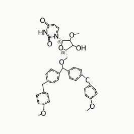 COc1ccc(Cc2ccc(C(OC[C@@H]3O[C@H](n4ccc(=O)[nH]c4=O)C(OC)C3O)c3ccc(Cc4ccc(OC)cc4)cc3)cc2)cc1